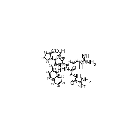 CC(C)[C@@H](N)C(=O)NCC(=O)N[C@@H](CCCNC(=N)N)C(=O)N[C@H](Cc1ccc2ccccc2c1)C(=O)N1CCC[C@H]1C(=O)O